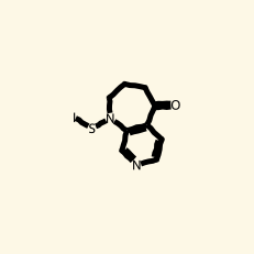 O=C1CCCN(SI)c2cnccc21